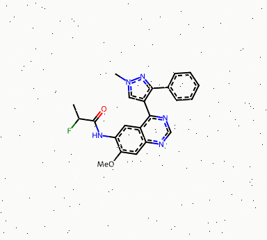 COc1cc2ncnc(-c3cn(C)nc3-c3ccccc3)c2cc1NC(=O)C(C)F